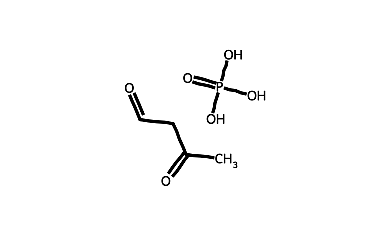 CC(=O)CC=O.O=P(O)(O)O